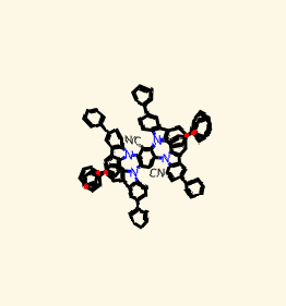 N#Cc1c(-n2c3c(c4cc(-c5ccccc5)ccc42)CC(c2ccccc2)C=C3)c(-n2c3c(c4cc(-c5ccccc5)ccc42)CC(c2ccccc2)C=C3)c(C#N)c(-n2c3ccc(-c4ccccc4)cc3c3cc(-c4ccccc4)ccc32)c1-n1c2ccc(-c3ccccc3)cc2c2cc(-c3ccccc3)ccc21